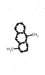 [CH2]c1cccc2c(C)c3ccccc3cc12